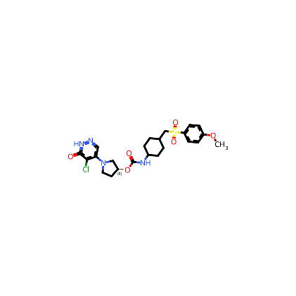 COc1ccc(S(=O)(=O)CC2CCC(NC(=O)O[C@@H]3CCN(c4cn[nH]c(=O)c4Cl)C3)CC2)cc1